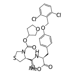 COC(=O)[C@H](Cc1ccc(OCc2c(Cl)cccc2Cl)cc1)NC(=O)[C@H]1CSCN1C(=O)OC1CCOC1